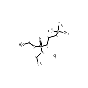 CCOP(=O)(OCC)OCC[N+](C)(C)C.[Cl-]